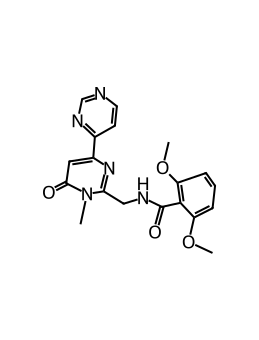 COc1cccc(OC)c1C(=O)NCc1nc(-c2ccncn2)cc(=O)n1C